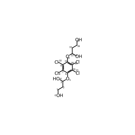 OCCC(O)Oc1c(Cl)c(Cl)c(OC(O)CCO)c(Cl)c1Cl